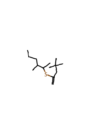 C=C(CC(C)(C)C)SC(C)C(C)CCC